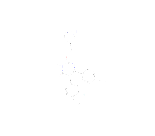 COc1ccc(-c2c(-c3ccc(C#N)cc3)nc(OCC3CCNC3)n(C)c2=O)cc1F